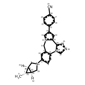 C[C@@H]1[C@H]2CN(c3ccc4c(c3)Cn3cc(-c5ccc(C#N)cc5)cc3-c3nncn3-4)C[C@@H]12